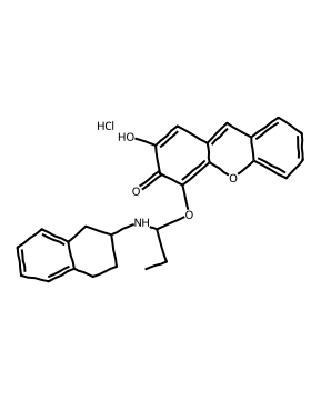 CCC(NC1CCc2ccccc2C1)Oc1c2oc3ccccc3cc-2cc(O)c1=O.Cl